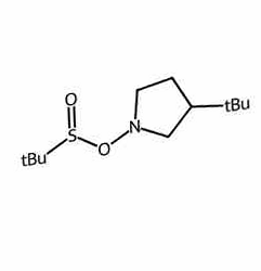 CC(C)(C)C1CCN(OS(=O)C(C)(C)C)C1